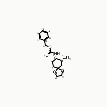 C[C@@H]1CC2(CC[C@@H]1NC(=O)OCc1ccccc1)OCCO2